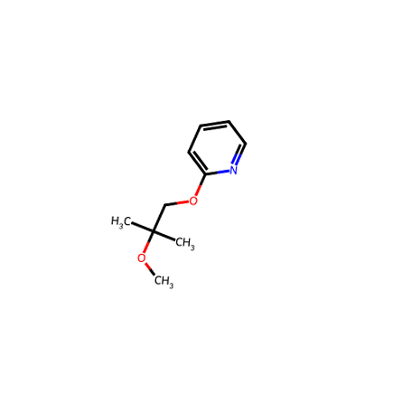 COC(C)(C)COc1ccccn1